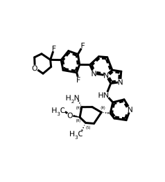 CO[C@H]1[C@H](N)C[C@H](c2ccncc2Nc2ncc3ccc(-c4c(F)cc(C5(F)CCOCC5)cc4F)nn23)C[C@@H]1C